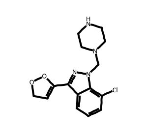 Clc1cccc2c(C3=CCOO3)nn(CN3CCNCC3)c12